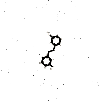 Fc1cccc(CCc2cccc(F)c2)c1